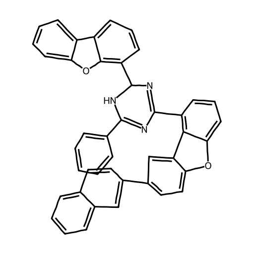 c1ccc(C2=NC(c3cccc4oc5ccc(-c6ccc7ccccc7c6)cc5c34)=NC(c3cccc4c3oc3ccccc34)N2)cc1